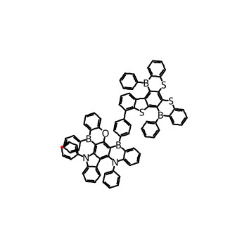 c1ccc(B2c3ccccc3Sc3c4c(c5c(sc6c(-c7ccc(B8c9ccccc9N(c9ccccc9)c9c8c8c(c%10c9c9ccccc9n%10-c9ccccc9)B(c9ccccc9)c9ccccc9O8)cc7)cccc65)c32)B(c2ccccc2)c2ccccc2S4)cc1